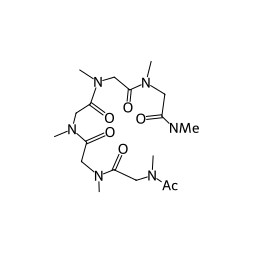 CNC(=O)CN(C)C(=O)CN(C)C(=O)CN(C)C(=O)CN(C)C(=O)CN(C)C(C)=O